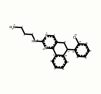 NCCCNc1ncc2c(n1)-c1ccccc1C(c1ccccc1Cl)C2